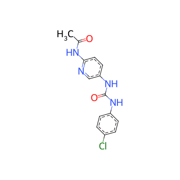 CC(=O)Nc1ccc(NC(=O)Nc2ccc(Cl)cc2)cn1